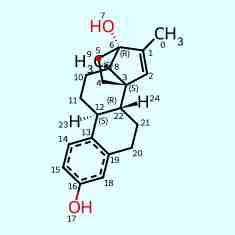 CC1=C[C@@]23CC[C@]1(O)[C@@]2(C)CC[C@@H]1c2ccc(O)cc2CC[C@H]13